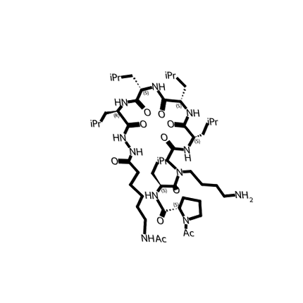 CC(=O)NCCCCCC(=O)NNC(=O)[C@@H](CC(C)C)NC(=O)[C@H](CC(C)C)NC(=O)[C@H](CC(C)C)NC(=O)[C@H](CC(C)C)NC(=O)CN(CCCCN)C(=O)[C@H](CC(C)C)NC(=O)[C@@H]1CCCN1C(C)=O